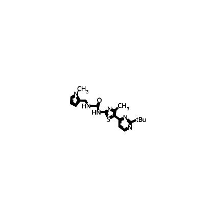 Cc1nc(NC(=O)NCc2cccn2C)sc1-c1ccnc(C(C)(C)C)n1